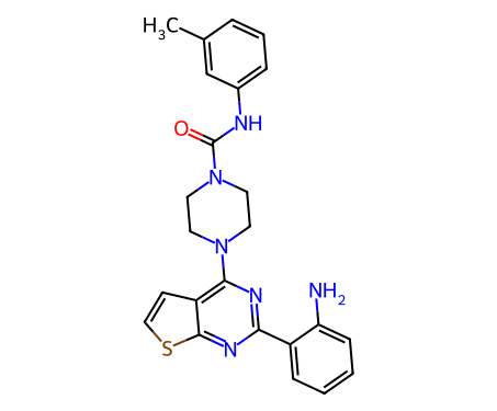 Cc1cccc(NC(=O)N2CCN(c3nc(-c4ccccc4N)nc4sccc34)CC2)c1